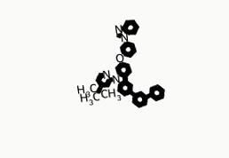 CC(C)(C)c1ccnc(-n2c3ccc(-c4cccc(-c5ccccc5)c4)cc3c3ccc(Oc4cccc(-n5cnc6ccccc65)c4)cc32)c1